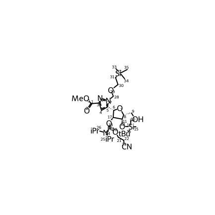 COC(=O)c1cc([C@@H]2O[C@H](CO)[C@@H](O[Si](C)(C)C(C)(C)C)[C@H]2OP(OCCC#N)N(C(C)C)C(C)C)n(COCC[Si](C)(C)C)n1